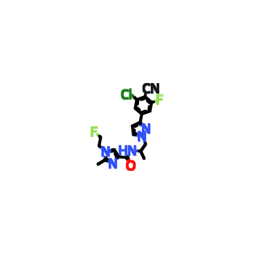 Cc1nc(C(=O)NC(C)Cn2ccc(-c3cc(F)c(C#N)c(Cl)c3)n2)cn1CCF